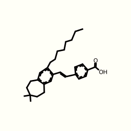 CCCCCCCCc1cc2c(cc1C=Cc1ccc(C(=O)O)cc1)CCC(C)(C)CC2